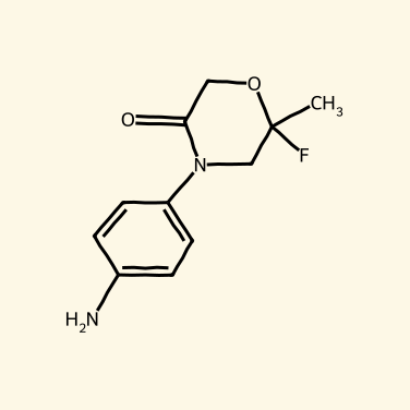 CC1(F)CN(c2ccc(N)cc2)C(=O)CO1